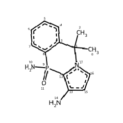 CC1(C)c2ccccc2P(N)(=O)c2c(N)ccn21